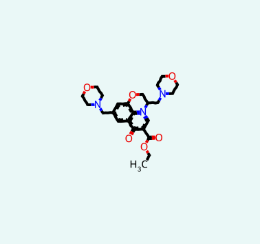 CCOC(=O)c1cn2c3c(cc(CN4CCOCC4)cc3c1=O)OCC2CN1CCOCC1